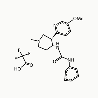 COc1ccc([C@@H]2CN(C)CC[C@H]2NC(=O)Nc2ccccc2)nc1.O=C(O)C(F)(F)F